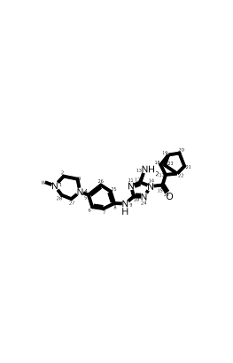 CN1CCN(c2ccc(Nc3nc(N)n(C(=O)C4CC5CCC4C5)n3)cc2)CC1